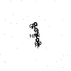 CC(=O)N(c1ccccc1C)C1CCN(Cc2nc(-c3ccc(S(=O)(=O)C(F)(F)F)cc3)[nH]c2C)CC1